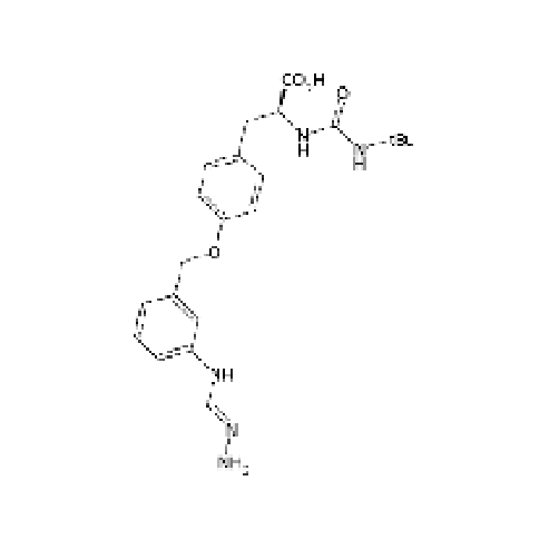 CC(C)(C)NC(=O)N[C@@H](Cc1ccc(OCc2cccc(NC=NN)c2)cc1)C(=O)O